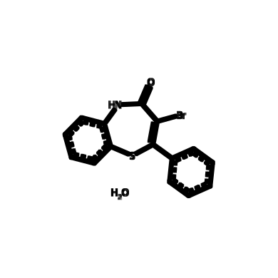 O.O=C1Nc2ccccc2SC(c2ccccc2)=C1Br